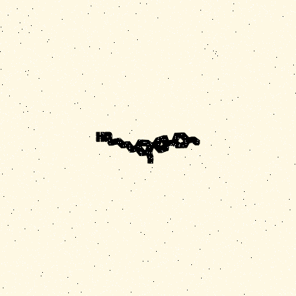 CCc1cc(CCCCCO)ccc1-c1ccc(C2CCC(CC)CC2)cc1